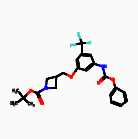 CC(C)(C)OC(=O)N1CC(COc2cc(NC(=O)Oc3ccccc3)cc(C(F)(F)F)c2)C1